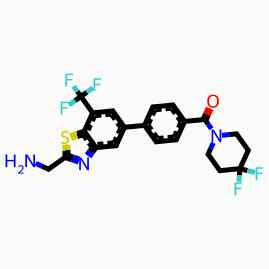 NCc1nc2cc(-c3ccc(C(=O)N4CCC(F)(F)CC4)cc3)cc(C(F)(F)F)c2s1